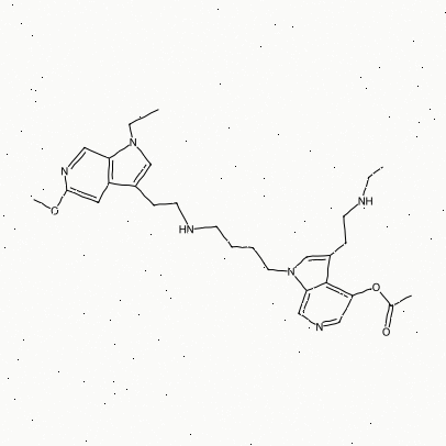 CCNCCc1cn(CCCCNCCc2cn(CC)c3cnc(OC)cc23)c2cncc(OC(C)=O)c12